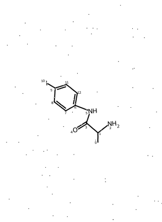 CC(N)C(=O)Nc1ccc(I)cc1